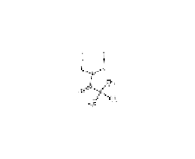 CC(C)(C)C(=O)[C](CF)CF